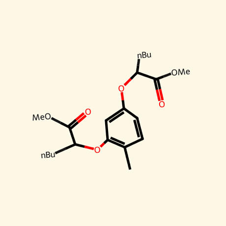 CCCCC(Oc1ccc(C)c(OC(CCCC)C(=O)OC)c1)C(=O)OC